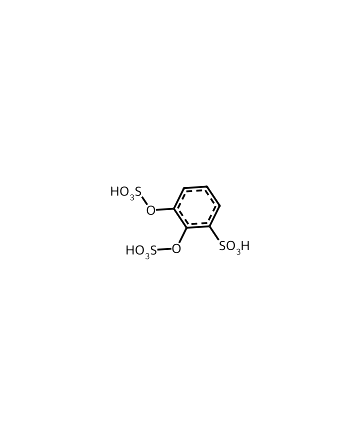 O=S(=O)(O)Oc1cccc(S(=O)(=O)O)c1OS(=O)(=O)O